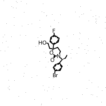 CC[C@@H](c1ccc(Br)cc1)N1CCC(CCO)(c2ccc(F)cc2)OC1=O